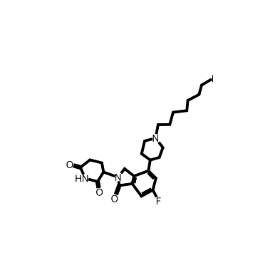 O=C1CCC(N2Cc3c(cc(F)cc3C3CCN(CCCCCCCI)CC3)C2=O)C(=O)N1